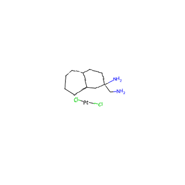 NCC1(N)CCC2CCCCC2C1.[Cl][Pt][Cl]